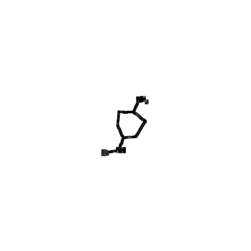 CCNC1CCC(N)CC1